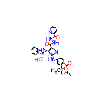 CC1(C)OC(=O)c2ccc(Nc3ncc(C(=O)NNC(=O)c4ccccn4)c(N[C@H](CO)c4ccccc4)n3)cc21